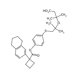 CC(C)(CSc1ccc(OC(=O)C2(c3ccc4c(c3)CCCC4)CCC2)cc1)OC(C)(C)CC(=O)O